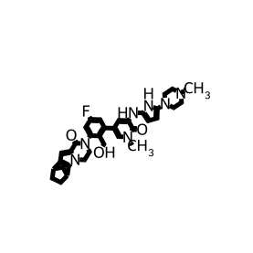 CN1CCN(c2ccc(Nc3cc(-c4cc(F)cc(N5CCn6c(cc7c6C6CCC7C6)C5=O)c4CO)cn(C)c3=O)[nH]2)CC1